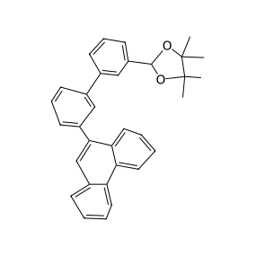 CC1(C)OC(c2cccc(-c3cccc(-c4cc5ccccc5c5ccccc45)c3)c2)OC1(C)C